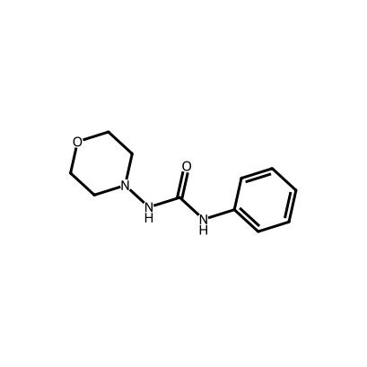 O=C(Nc1ccccc1)NN1CCOCC1